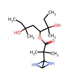 CCC(C)(O)CC(OC(=O)C(C)(C)C12NC1N2)C(C)(O)CC